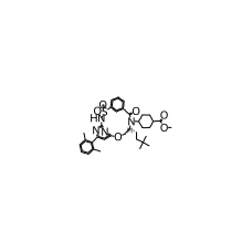 COC(=O)C1CCC(N2C(=O)c3cccc(c3)S(=O)(=O)Nc3nc(cc(-c4c(C)cccc4C)n3)OC[C@H]2CCC(C)(C)C)CC1